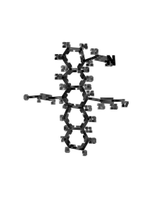 CC#Cc1c2cc3ccccc3cc2c(C#CC)c2cc3c(C#N)cccc3cc12